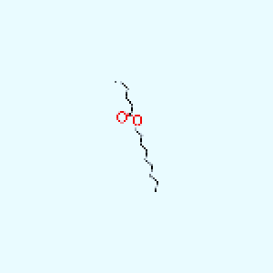 [CH2]CCCC(=O)OCCCCCCCCC